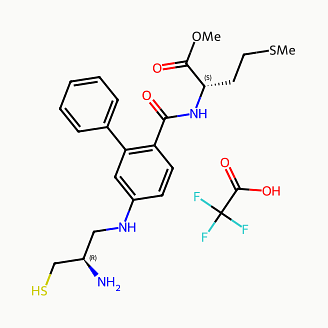 COC(=O)[C@H](CCSC)NC(=O)c1ccc(NC[C@@H](N)CS)cc1-c1ccccc1.O=C(O)C(F)(F)F